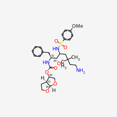 COc1ccc(S(=O)(=O)NC(CC(C)(C)CCN)[C@H](O)[C@H](Cc2ccccc2)NC(=O)O[C@H]2CO[C@H]3OCC[C@H]32)cc1